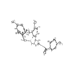 Cc1ccc(C(=O)N2CC(CCOc3ccc(C#N)cn3)C(c3ccc(Cl)c(Cl)c3)C2)cn1